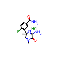 CN1CC(C)(c2cc(C(N)=O)ccc2F)N=C(N)C1=O.Cl